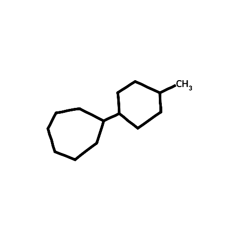 CC1CCC(C2CCCCCC2)CC1